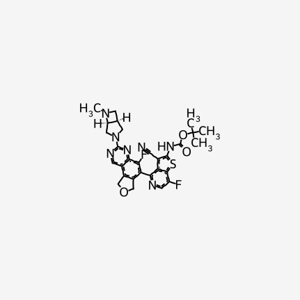 CN1C[C@H]2CN(c3ncc4c5c(c(-c6ncc(F)c7sc(NC(=O)OC(C)(C)C)c(C#N)c67)c(F)c4n3)COC5)C[C@H]21